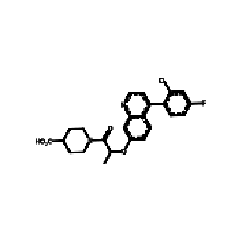 CC(Oc1ccc2c(-c3ccc(F)cc3Cl)ccnc2c1)C(=O)N1CCC(C(=O)O)CC1